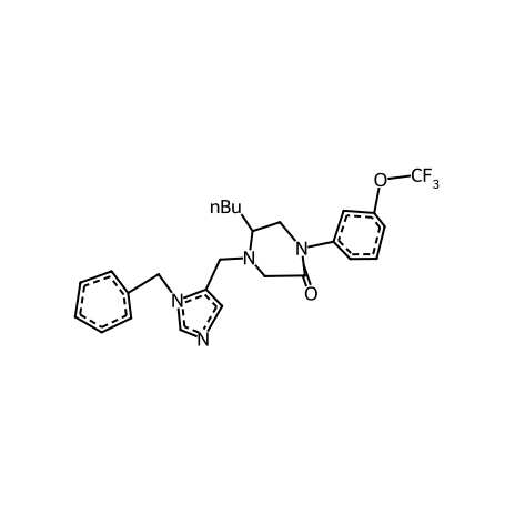 CCCCC1CN(c2cccc(OC(F)(F)F)c2)C(=O)CN1Cc1cncn1Cc1ccccc1